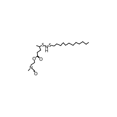 CCCCCCCCCCCCSNSC(C)CCC(=O)OCCN(C)C=O